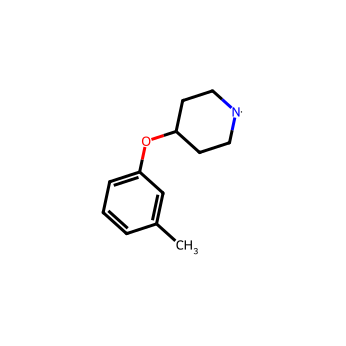 Cc1cccc(OC2CC[N]CC2)c1